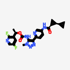 C[C@@H](OC(=O)Nc1c(-c2ccc(NC(=O)[C@@H]3C[C@H]3C3CC3)cn2)nnn1C)c1cc(F)cnc1F